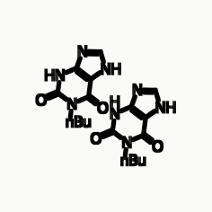 CCCCn1c(=O)[nH]c2nc[nH]c2c1=O.CCCCn1c(=O)[nH]c2nc[nH]c2c1=O